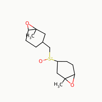 CC12CC(C[S+]([O-])C3CCC4OC4(C)C3)CCC1O2